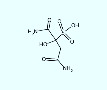 NC(=O)CC(O)(C(N)=O)S(=O)(=O)O